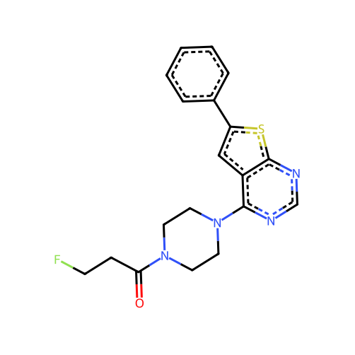 O=C(CCF)N1CCN(c2ncnc3sc(-c4ccccc4)cc23)CC1